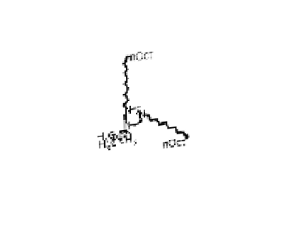 CCCCCCCC/C=C\CCCCCCCCN1CCN(CCCCCCCC/C=C\CCCCCCCC)CCN(C(=O)C[N+](C)(C)C)CC1